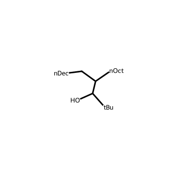 CCCCCCCCCCCC(CCCCCCCC)C(O)C(C)(C)C